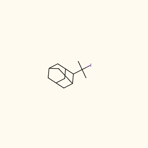 CC(C)(I)C1C2CC3CC(C2)CC1C3